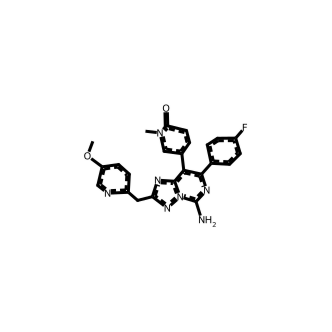 COc1ccc(Cc2nc3c(-c4ccc(=O)n(C)c4)c(-c4ccc(F)cc4)nc(N)n3n2)nc1